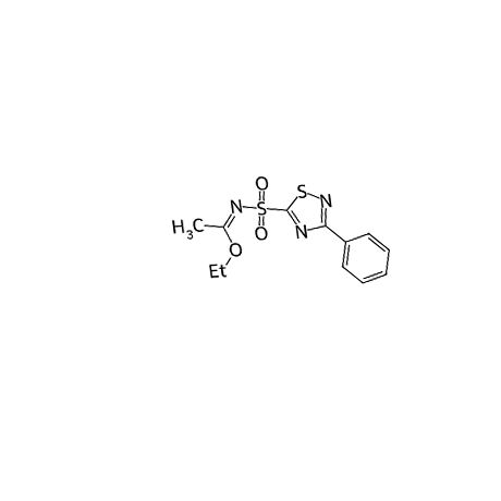 CCOC(C)=NS(=O)(=O)c1nc(-c2ccccc2)ns1